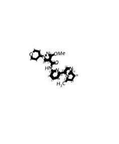 COc1nn(C2CCOCC2)cc1C(=O)Nc1cccc(-c2cnc3n2C(C)CC3)n1